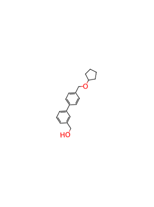 OCc1cccc(-c2ccc(COC3CCCC3)cc2)c1